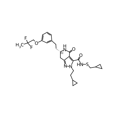 CC(F)(F)COc1cccc(CC[C@H]2Cc3nn(CCC4CC4)c(C(=O)NSCC4CC4)c3C(=O)N2)c1